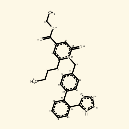 CCCCc1cc(C(=O)OCC)cc(=O)n1Cc1ccc(-c2ccccc2-c2nnn[nH]2)cc1